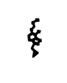 CCOCOc1ccc2c(nnn2CC2CC2)c1Br